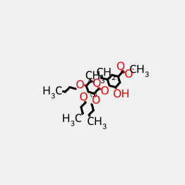 C=CC1CC(C(=O)OC)CC(O)C1OC1O[C@@H](C)C(OCCCC)C(OCCCC)[C@@H]1OCCCC